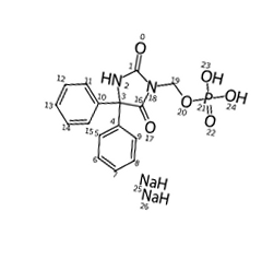 O=C1NC(c2ccccc2)(c2ccccc2)C(=O)N1COP(=O)(O)O.[NaH].[NaH]